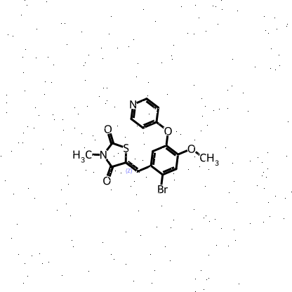 COc1cc(Br)c(/C=C2\SC(=O)N(C)C2=O)cc1Oc1ccncc1